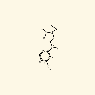 CC(CCC1(C(C)C)CC1)c1cccc(Cl)c1